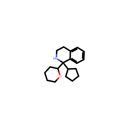 c1ccc2c(c1)CCNC2(C1CCCC1)C1CCCCO1